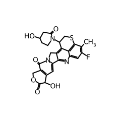 Cc1c(F)cc2nc3c(c4c2c1SCC4N1CCC(O)CC1=O)Cn1c-3cc2c(c1=O)COC(=O)C2O